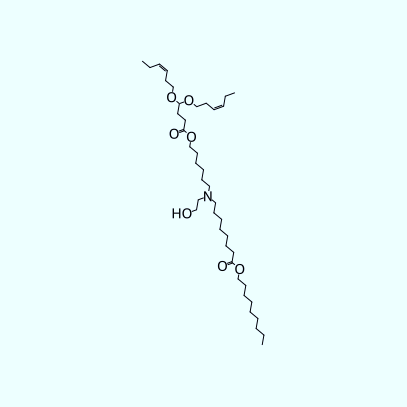 CC/C=C\CCOC(CCC(=O)OCCCCCCN(CCO)CCCCCCCC(=O)OCCCCCCCCC)OCC/C=C\CC